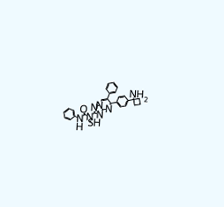 NC1(c2ccc(-c3nc4nc(N(S)C(=O)Nc5ccccc5)nn4cc3-c3ccccc3)cc2)CCC1